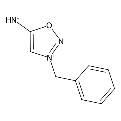 [NH-]c1c[n+](Cc2ccccc2)no1